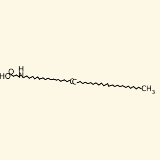 CCCCCCCCCCCCCCCCCCCCCCCCCCCCCCCCCCCCCCCCCCCCCCNCCCC(=O)O